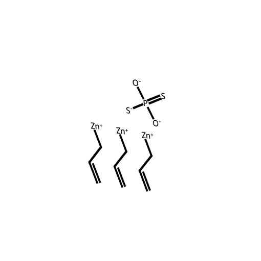 C=C[CH2][Zn+].C=C[CH2][Zn+].C=C[CH2][Zn+].[O-]P([O-])(=S)[S-]